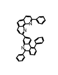 c1ccc(-c2ccc3ccc4ccc(-c5ccc6c(c5)nc(-c5ccccc5)c5cccc(-c7ccccc7)c56)nc4c3n2)cc1